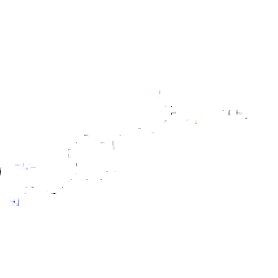 CCOC(=O)CCc1ccc(Cc2ncc[nH]2)cc1